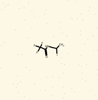 CC(I)NC(=O)C(F)(F)F